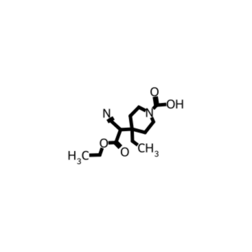 CCOC(=O)C(C#N)C1(CC)CCN(C(=O)O)CC1